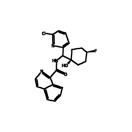 O=C(NC(c1cccc(Cl)n1)[C@]1(O)CC[C@@H](F)CC1)c1nccc2ccccc12